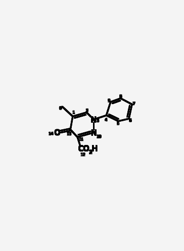 Cc1cn(-c2ccccc2)nc(C(=O)O)c1=O